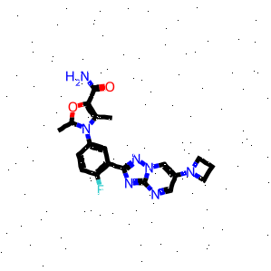 CC1=C(C(N)=O)OC(C)N1c1ccc(F)c(-c2nc3ncc(N4CCC4)cn3n2)c1